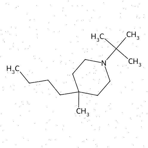 CCCCC1(C)CCN(C(C)(C)C)CC1